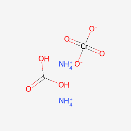 O=C(O)O.[NH4+].[NH4+].[O]=[Cr](=[O])([O-])[O-]